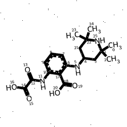 CC1(C)CC(Nc2cccc(NC(=O)C(=O)O)c2C(=O)O)CC(C)(C)N1